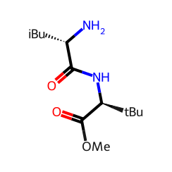 CCC(C)[C@H](N)C(=O)N[C@H](C(=O)OC)C(C)(C)C